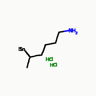 C[CH]([Sn])CCCCN.Cl.Cl